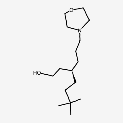 CC(C)(C)CC[C@@H](CCO)CCCN1CCOCC1